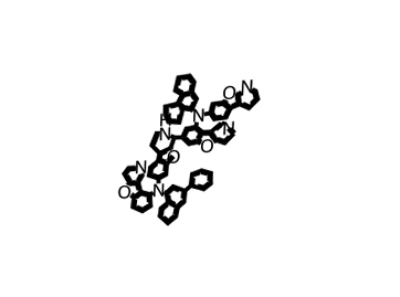 C1=Cc2c(oc3cc(N(c4cc(-c5ccccc5)cc5ccccc45)c4cccc5oc6ccncc6c45)ccc23)C(c2cc(N(c3ccc4c(c3)oc3ncccc34)c3cc4ccccc4c4ccccc34)c3c(c2)oc2ccncc23)N1